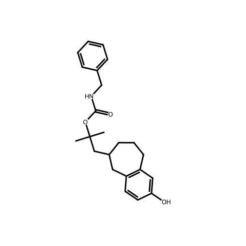 CC(C)(CC1CCCc2cc(O)ccc2C1)OC(=O)NCc1ccccc1